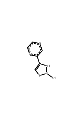 SN1NC(c2cnccn2)=CS1